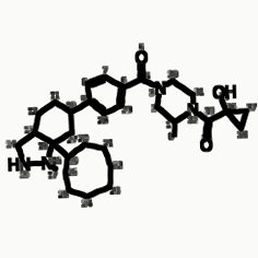 CC1CN(C(=O)c2ccc(C3CCC4CNN(C)C4(C4CCCCCCC4)C3)cc2)CCN1C(=O)C1(O)CC1